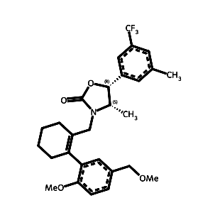 COCc1ccc(OC)c(C2=C(CN3C(=O)O[C@H](c4cc(C)cc(C(F)(F)F)c4)[C@@H]3C)CCCC2)c1